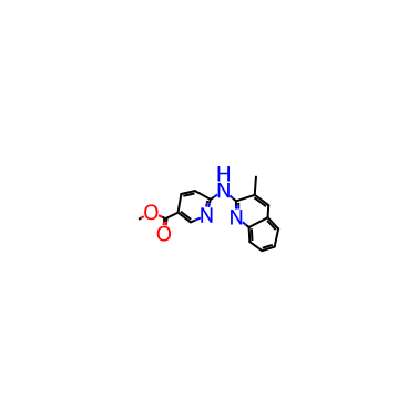 COC(=O)c1ccc(Nc2nc3ccccc3cc2C)nc1